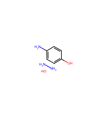 NN.Nc1ccc(O)cc1.[OH]